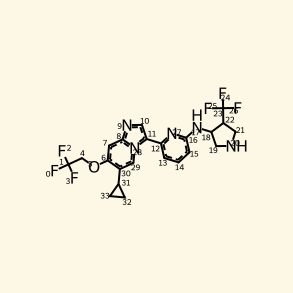 FC(F)(F)COc1cc2ncc(-c3cccc(NC4CNCC4C(F)(F)F)n3)n2cc1C1CC1